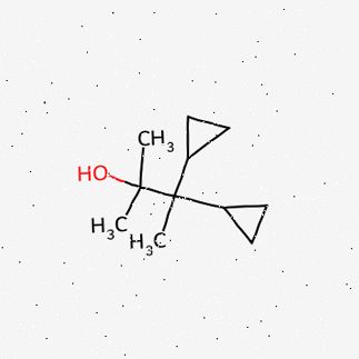 CC(C)(O)C(C)(C1CC1)C1CC1